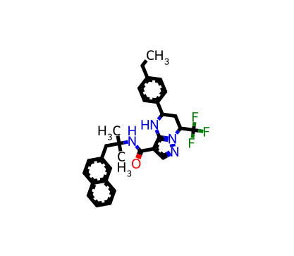 CCc1ccc(C2CC(C(F)(F)F)n3ncc(C(=O)NC(C)(C)Cc4ccc5ccccc5c4)c3N2)cc1